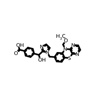 COCN1c2cc(Cn3ccnc3C(O)c3ccc(C(=O)O)cc3)ccc2Sc2nccnc21